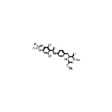 COC(=O)[C@H](Cc1ccc(NC(=O)c2c(Cl)cc(O[Si](C(C)C)(C(C)C)C(C)C)cc2Cl)cc1)NC(=O)OC(C)(C)C